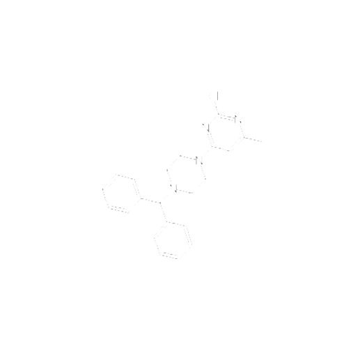 Cc1cc(N2CCN(C(c3ccccc3)c3ccccc3)CC2)nc(Cl)n1